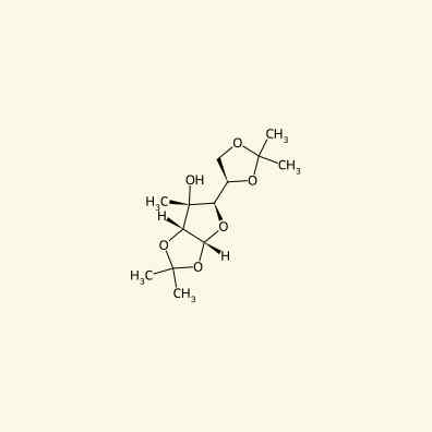 CC1(C)OC[C@H]([C@H]2O[C@@H]3OC(C)(C)O[C@@H]3[C@]2(C)O)O1